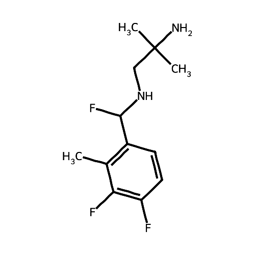 Cc1c(C(F)NCC(C)(C)N)ccc(F)c1F